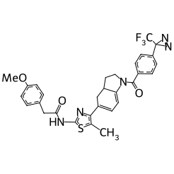 COc1ccc(CC(=O)Nc2nc(C3=CC=C4C(CCN4C(=O)c4ccc(C5(C(F)(F)F)N=N5)cc4)C3)c(C)s2)cc1